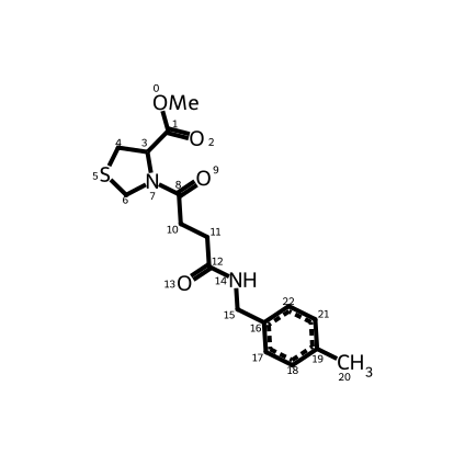 COC(=O)C1CSCN1C(=O)CCC(=O)NCc1ccc(C)cc1